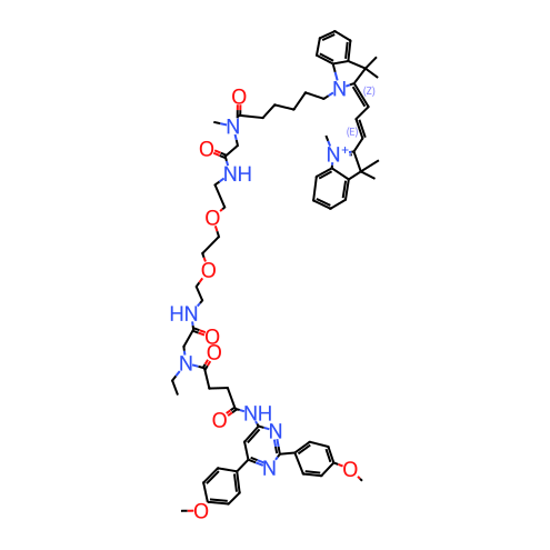 CCN(CC(=O)NCCOCCOCCNC(=O)CN(C)C(=O)CCCCCN1/C(=C\C=C\C2=[N+](C)c3ccccc3C2(C)C)C(C)(C)c2ccccc21)C(=O)CCC(=O)Nc1cc(-c2ccc(OC)cc2)nc(-c2ccc(OC)cc2)n1